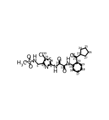 CS(=O)(=O)NCc1nc(NC(=O)C(=O)Nc2ccccc2C(=O)C2CCCC2)sc1Cl